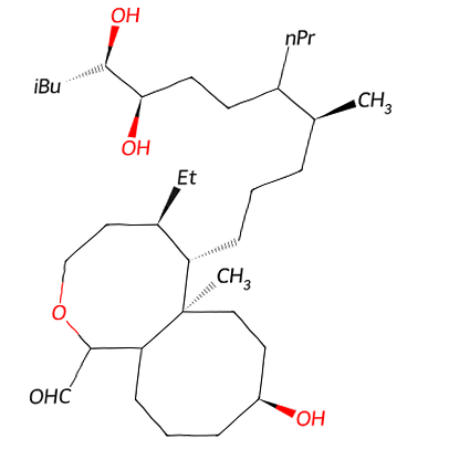 CCCC(CC[C@@H](O)[C@H](O)[C@@H](C)CC)[C@@H](C)CCC[C@H]1[C@H](CC)CCOC(C=O)C2CCC[C@H](O)CC[C@@]21C